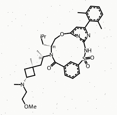 COCCN(C)[C@H]1C[C@](C)(C[C@H](C)N2C(=O)c3cccc(c3)S(=O)(=O)Nc3nc(cc(-c4c(C)cccc4C)n3)OC[C@H]2CC(C)C)C1